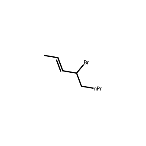 C/C=C/C(Br)CCCC